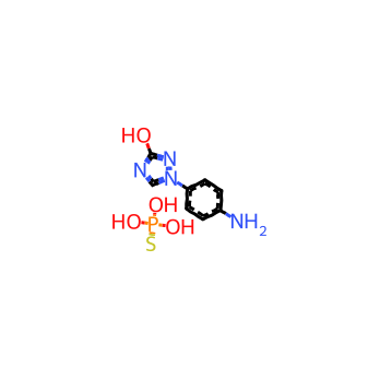 Nc1ccc(-n2cnc(O)n2)cc1.OP(O)(O)=S